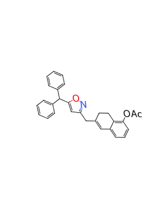 CC(=O)Oc1cccc2c1CCC(Cc1cc(C(c3ccccc3)c3ccccc3)on1)=C2